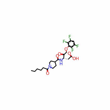 CCCCCC(=O)N1CCC(C(=O)N[C@@H](CC(=O)O)C(=O)COc2c(F)c(F)cc(F)c2F)CC1